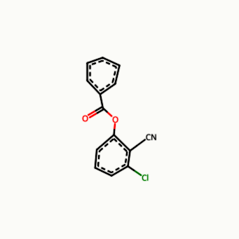 N#Cc1c(Cl)cccc1OC(=O)c1ccccc1